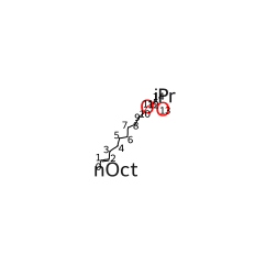 CCCCCCCCC=CCCCCCCCCOC(=O)C(C)C